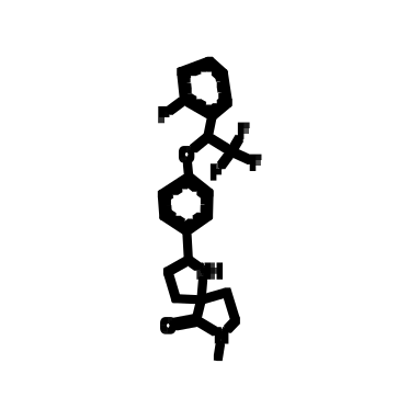 CN1CCC2(CCC(c3ccc(OC(c4ccccc4F)C(F)(F)F)cc3)N2)C1=O